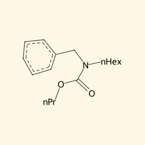 CCCCCCN(Cc1ccccc1)C(=O)OCCC